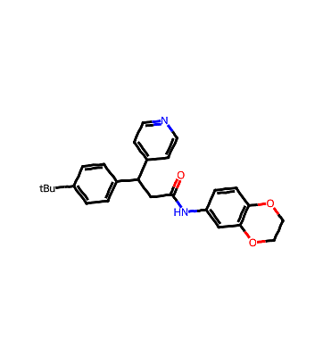 CC(C)(C)c1ccc(C(CC(=O)Nc2ccc3c(c2)OCCO3)c2ccncc2)cc1